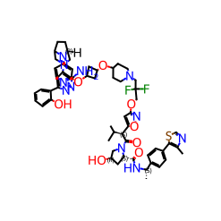 Cc1ncsc1-c1ccc([C@H](C)NC(=O)[C@@H]2C[C@@H](O)CN2C(=O)[C@H](c2cc(OCC(F)(F)CN3CCC(OC4CC(Oc5cc(N6C7CC[C@@H]6CN(c6cc(-c8ccccc8O)nnc6N)C7)ccn5)C4)CC3)no2)C(C)C)cc1